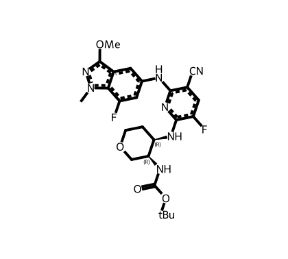 COc1nn(C)c2c(F)cc(Nc3nc(N[C@@H]4CCOC[C@@H]4NC(=O)OC(C)(C)C)c(F)cc3C#N)cc12